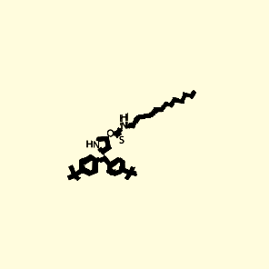 CCCCCCCCCCCCNC(=S)O[C@H]1CN[C@@H](C(c2ccc(C(C)(C)C)cc2)c2ccc(C(C)(C)C)cc2)C1